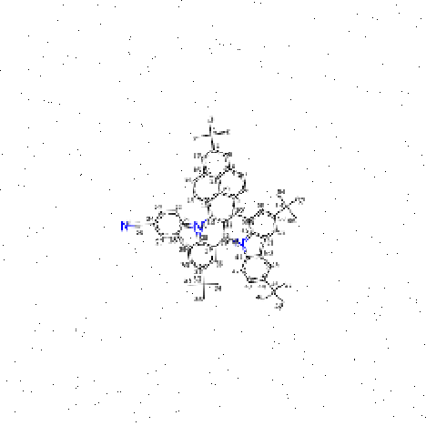 CC(C)(C)c1cc2ccc3c4c5c(c6ccc(c1)c2c36)-n1c2ccc(C#N)cc2c2cc(C(C)(C)C)cc(c21)B5n1c2ccc(C(C)(C)C)cc2c2cc(C(C)(C)C)cc-4c21